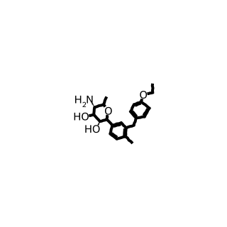 CCOc1ccc(Cc2cc(C3OC(C)[C@@H](N)C(O)[C@H]3O)ccc2C)cc1